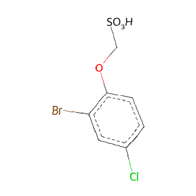 O=S(=O)(O)COc1ccc(Cl)cc1Br